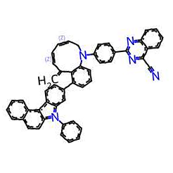 C=C1/C=C\C=C/CN(c2ccc(-c3nc(C#N)c4ccccc4n3)cc2)c2cccc(-c3ccc4c5c6ccccc6ccc5n(-c5ccccc5)c4c3)c21